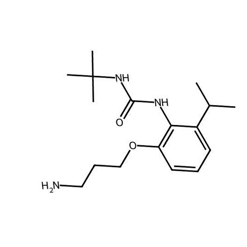 CC(C)c1cccc(OCCCN)c1NC(=O)NC(C)(C)C